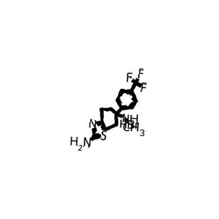 Br.CNC1(c2ccc(C(F)(F)F)cc2)CCc2nc(N)sc2C1